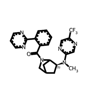 CN(c1cnc(C(F)(F)F)cn1)[C@H]1CC2CC1N(C(=O)c1ccccc1-c1ncccn1)C2